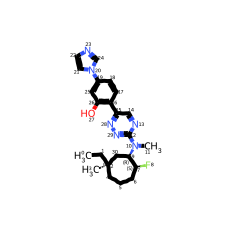 CC[C@]1(C)CCC[C@H](F)[C@H](N(C)c2ncc(-c3ccc(-n4ccnc4)cc3O)nn2)C1